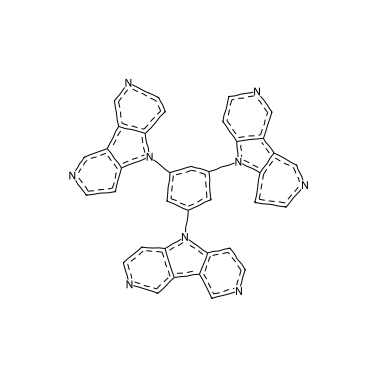 c1cc2c(cn1)c1cnccc1n2-c1cc(-n2c3ccncc3c3cnccc32)cc(-n2c3ccncc3c3cnccc32)c1